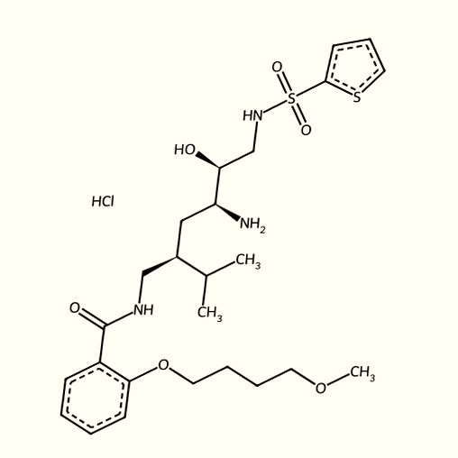 COCCCCOc1ccccc1C(=O)NC[C@@H](C[C@H](N)[C@@H](O)CNS(=O)(=O)c1cccs1)C(C)C.Cl